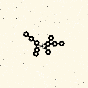 c1ccc(-c2ccc(-c3ccc4c(c3)c3cc5ccccc5cc3n4-c3nc(-c4ccccc4)c4cc(-c5ccc(-c6ccccc6)cc5)c(-c5ccccc5)cc4n3)cc2)cc1